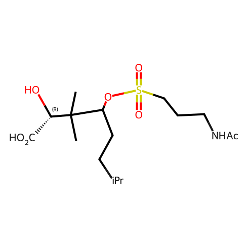 CC(=O)NCCCS(=O)(=O)OC(CCC(C)C)C(C)(C)[C@@H](O)C(=O)O